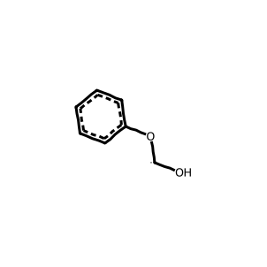 O[CH]Oc1ccccc1